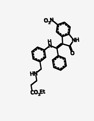 CCOC(=O)CCNCc1cccc(NC(=C2C(=O)Nc3ccc([N+](=O)[O-])cc32)c2ccccc2)c1